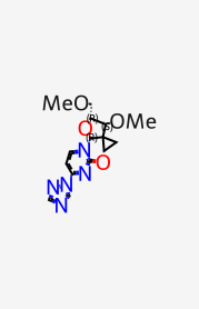 COC[C@H]1O[C@@H](n2ccc(-n3cncn3)nc2=O)C2(CC2)[C@@H]1OC